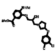 COC(=O)c1ccc(NC(C)=O)c(OCC(O)CN2CCC(Oc3ccc(Cl)c(Cl)c3)C2)c1